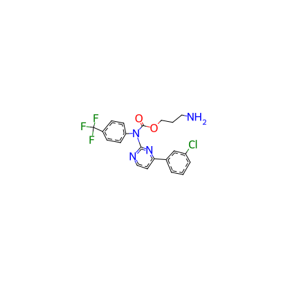 NCCCOC(=O)N(c1ccc(C(F)(F)F)cc1)c1nccc(-c2cccc(Cl)c2)n1